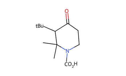 CC(C)(C)C1C(=O)CCN(C(=O)O)C1(C)C